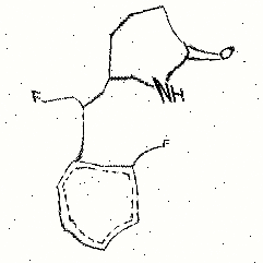 O=C1CCC(C(F)c2ccccc2F)N1